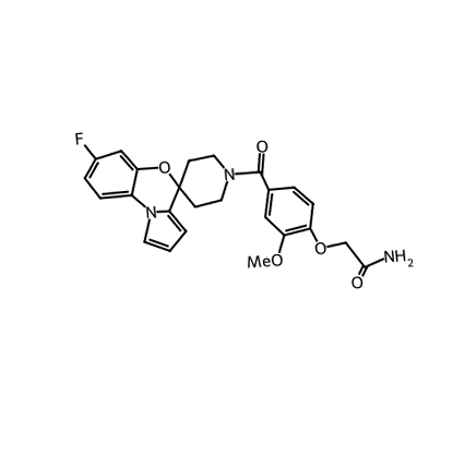 COc1cc(C(=O)N2CCC3(CC2)Oc2cc(F)ccc2-n2cccc23)ccc1OCC(N)=O